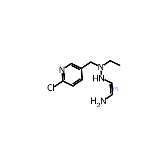 CCN(Cc1ccc(Cl)nc1)N/C=C\N